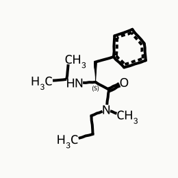 CCCN(C)C(=O)[C@H](Cc1ccccc1)NC(C)C